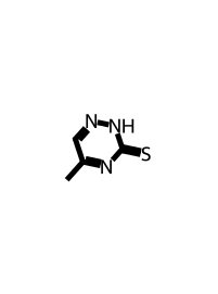 Cc1cn[nH]c(=S)n1